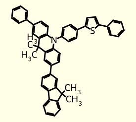 CC1(C)c2ccccc2-c2ccc(-c3ccc4c(c3)C(C)(C)c3cc(-c5ccccc5)ccc3N4c3ccc(-c4ccc(-c5ccccc5)s4)cc3)cc21